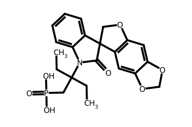 CCC(CC)(CP(=O)(O)O)N1C(=O)C2(COc3cc4c(cc32)OCO4)c2ccccc21